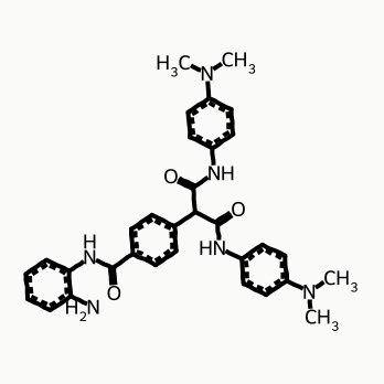 CN(C)c1ccc(NC(=O)C(C(=O)Nc2ccc(N(C)C)cc2)c2ccc(C(=O)Nc3ccccc3N)cc2)cc1